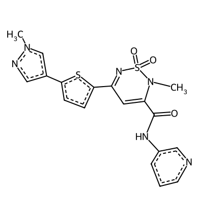 CN1C(C(=O)Nc2cccnc2)=CC(c2ccc(-c3cnn(C)c3)s2)=NS1(=O)=O